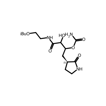 CC(C)COCCNC(=O)C(O)C(C[C@@H]1CCNC1=O)OC(N)=O